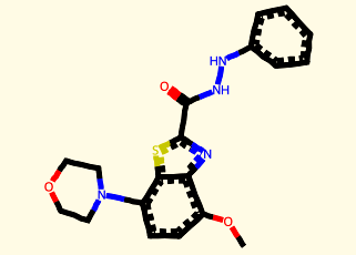 COc1ccc(N2CCOCC2)c2sc(C(=O)NNc3ccccc3)nc12